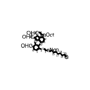 C=CCCCCCCCCC.CC1=CCC(C=O)C(C)C1C.CCCCCCCC=O.CCCCCCCCC=CC=O.O=CC1=Cc2ccccc2C1